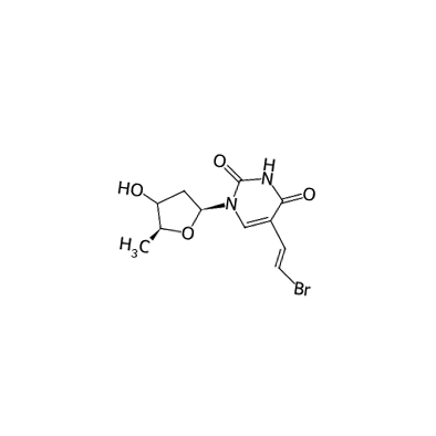 C[C@@H]1O[C@H](n2cc(/C=C/Br)c(=O)[nH]c2=O)CC1O